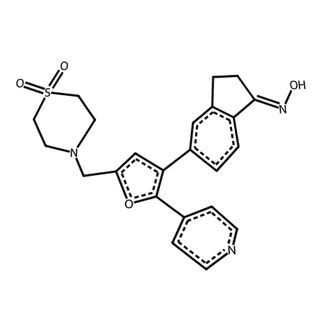 O=S1(=O)CCN(Cc2cc(-c3ccc4c(c3)CCC4=NO)c(-c3ccncc3)o2)CC1